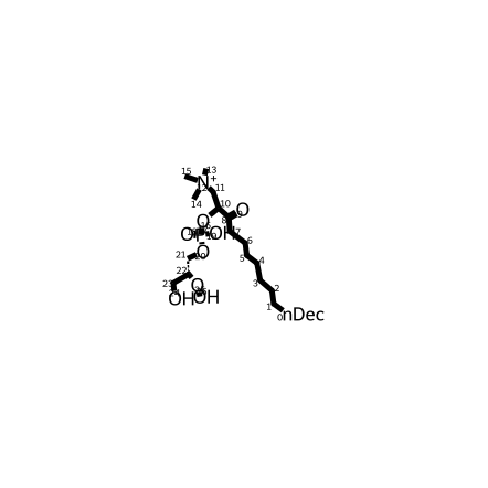 CCCCCCCCCCCCCCCCCC(=O)C(C[N+](C)(C)C)OP(=O)(O)OC[C@@H](CO)OO